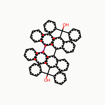 OC(c1ccccc1)(c1ccccc1)c1cc(P(c2ccccc2)c2ccccc2)c(-c2c(P(c3ccccc3)c3ccccc3)cc(C(O)(c3ccccc3)c3ccccc3)c3ccccc23)c2ccccc12